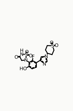 O=C1CN(c2c(O)ccc(-c3cn(C4CCS(=O)(=O)CC4)cn3)c2F)S(=O)(=O)N1